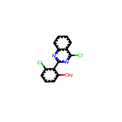 Oc1cccc(Cl)c1-c1nc(Cl)c2ccccc2n1